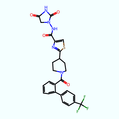 O=C1CN(NC(=O)c2csc(C3CCN(C(=O)c4ccccc4-c4ccc(C(F)(F)F)cc4)CC3)n2)C(=O)N1